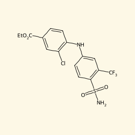 CCOC(=O)c1ccc(Nc2ccc(S(N)(=O)=O)c(C(F)(F)F)c2)c(Cl)c1